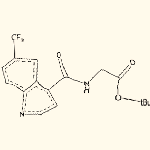 CC(C)(C)OC(=O)CNC(=O)c1ccnc2ccc(C(F)(F)F)cc12